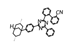 C[C@@H]1C[C@@H]2C[C@H](C)CC(c3ccc(-c4nc(-c5ccccc5)nc(-c5ccccc5-c5ccccc5C#N)n4)cc3)(C1)C2